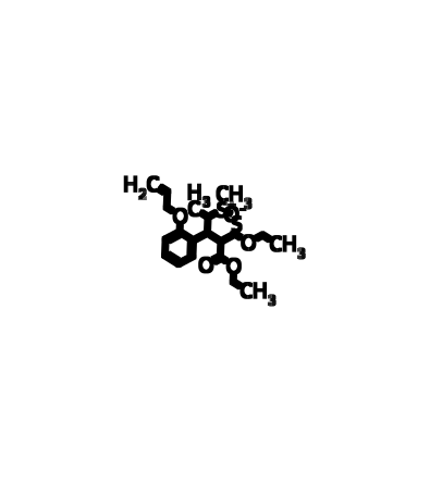 C=CCOc1ccccc1C(C(C(=O)OCC)C(=S)OCC)C(C)[S+](C)[O-]